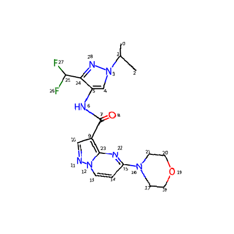 CC(C)n1cc(NC(=O)c2cnn3ccc(N4CCOCC4)nc23)c(C(F)F)n1